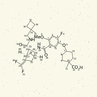 COc1cc(F)c(OC2CCC(C)(C(=O)O)CC2)cc1C(=O)N[C@@H]1[C@H]2CC(=C(F)F)[C@H](C2)[C@@H]1C(=O)NCC1(C)CCC1